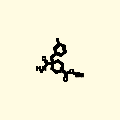 Cc1cccc(CC2(C(N)=O)CCN(C(=O)OC(C)(C)C)CC2)c1